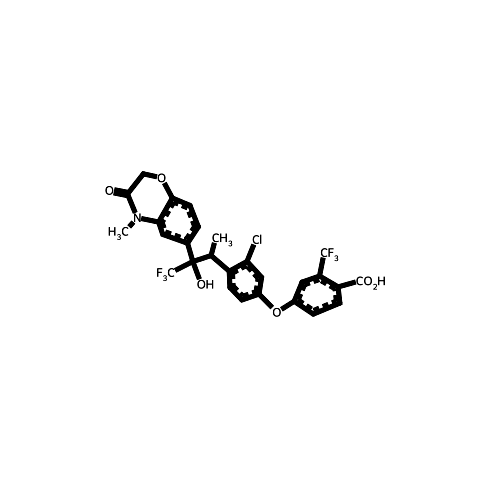 CC(c1ccc(Oc2ccc(C(=O)O)c(C(F)(F)F)c2)cc1Cl)C(O)(c1ccc2c(c1)N(C)C(=O)CO2)C(F)(F)F